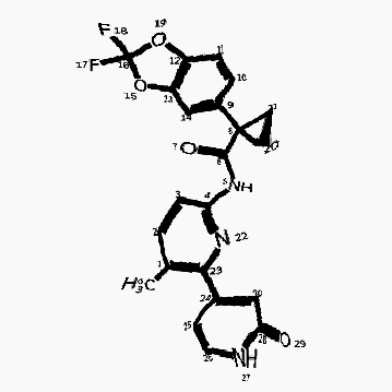 Cc1ccc(NC(=O)C2(c3ccc4c(c3)OC(F)(F)O4)CC2)nc1-c1cc[nH]c(=O)c1